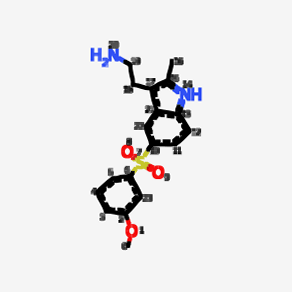 COc1cccc(S(=O)(=O)c2ccc3[nH]c(C)c(CCN)c3c2)c1